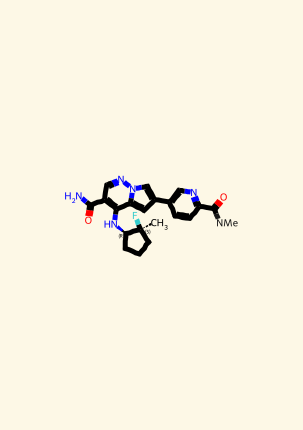 CNC(=O)c1ccc(-c2cc3c(N[C@@H]4CCC[C@]4(C)F)c(C(N)=O)cnn3c2)cn1